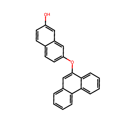 Oc1ccc2ccc(Oc3cc4ccccc4c4ccccc34)cc2c1